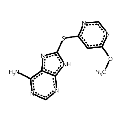 COc1cc(Sc2nc3c(N)ncnc3[nH]2)ncn1